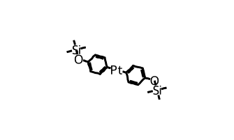 C[Si](C)(C)Oc1cc[c]([Pt][c]2ccc(O[Si](C)(C)C)cc2)cc1